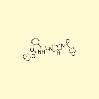 O=C(NC(CCN1CC2CN(C(=O)c3ccoc3)C[C@@H]2C1)c1ccccc1)OC1CCOC1